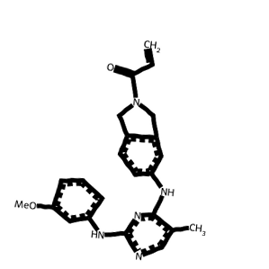 C=CC(=O)N1Cc2ccc(Nc3nc(Nc4cccc(OC)c4)ncc3C)cc2C1